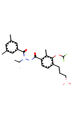 CCC[C@@H](N(NC(=O)c1ccc(CCCB(O)O)c(OC(F)F)c1C)C(=O)c1cc(C)cc(C)c1)C(C)(C)C